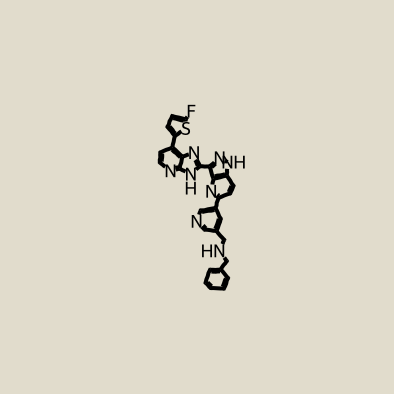 Fc1ccc(-c2ccnc3[nH]c(-c4n[nH]c5ccc(-c6cncc(CNCc7ccccc7)c6)nc45)nc23)s1